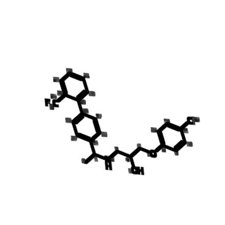 CC(NCC(O)COc1ccc(Cl)cc1)c1ccc(-c2ccccc2C(F)(F)F)cc1